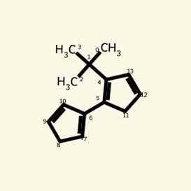 CC(C)(C)C1=C(C2=[C]CC=C2)CC=C1